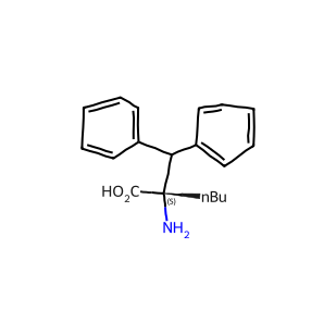 CCCC[C@@](N)(C(=O)O)C(c1ccccc1)c1ccccc1